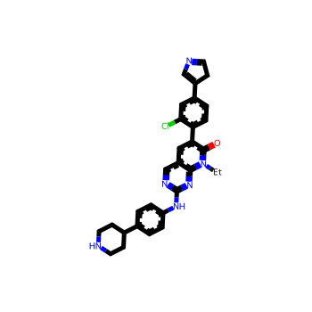 CCn1c(=O)c(-c2ccc(C3=CN=CC3)cc2Cl)cc2cnc(Nc3ccc(C4CCNCC4)cc3)nc21